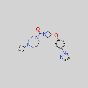 O=C(N1CCCN(C2CCC2)CC1)N1CC(Oc2ccc(-n3cccn3)cc2)C1